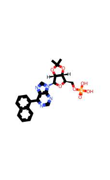 CC1(C)O[C@@H]2[C@H](O1)[C@@H](COP(=O)(O)O)O[C@H]2n1cnc2c(-c3cccc4ccccc34)ncnc21